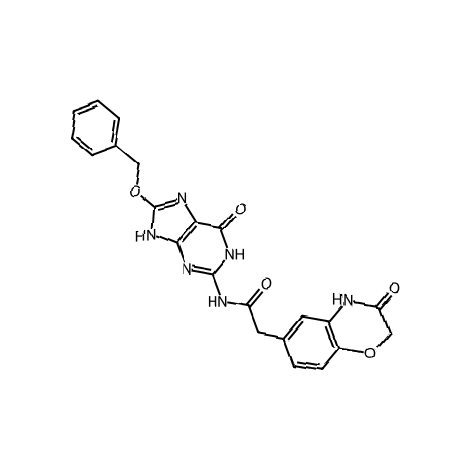 O=C(Cc1ccc2c(c1)NC(=O)CO2)Nc1nc2[nH]c(OCc3ccccc3)nc2c(=O)[nH]1